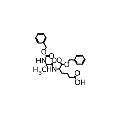 CC(NC(=O)OCc1ccccc1)C(=O)NC(CCCC(=O)O)C(=O)OCc1ccccc1